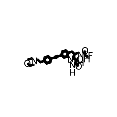 O=C(CF)NCC(Cc1ccc(C#Cc2ccc(CCN3CCOCC3)cc2)cc1)c1nc[nH]c(=O)c1O